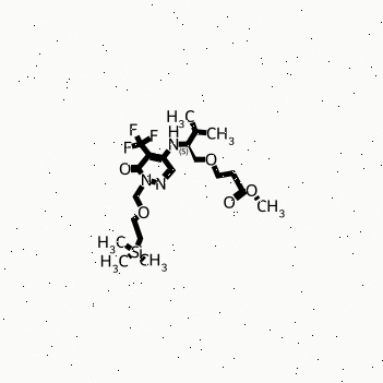 COC(=O)CCOC[C@@H](Nc1cnn(COCC[Si](C)(C)C)c(=O)c1C(F)(F)F)C(C)C